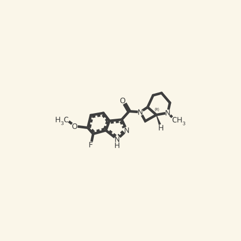 COc1ccc2c(C(=O)N3C[C@@H]4C3CCCN4C)n[nH]c2c1F